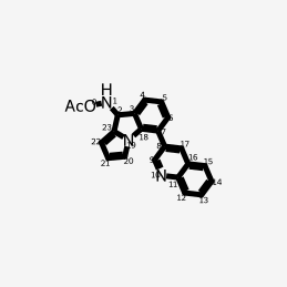 CC(=O)ONC1c2cccc(-c3cnc4ccccc4c3)c2-n2cccc21